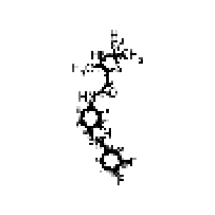 CC1=C(C2OC2Nc2ccc3sc(-c4ccc(F)c(F)c4)nc3c2)SC(C)(C)N1